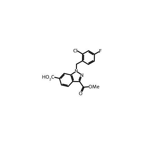 COC(=O)c1nn(Cc2ccc(F)cc2Cl)c2cc(C(=O)O)ccc12